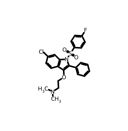 CN(C)CCOc1c(-c2ccccc2)n(S(=O)(=O)c2ccc(F)cc2)c2cc(Cl)ccc12